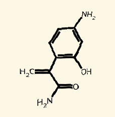 C=C(C(N)=O)c1ccc(N)cc1O